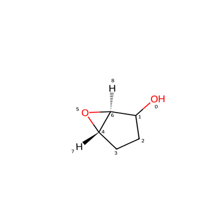 OC1CC[C@@H]2O[C@@H]12